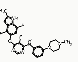 Cc1cc2c(F)c(Oc3ncnc(Nc4cccc(N5CCN(C)CC5)c4)c3F)cc(F)c2[nH]1